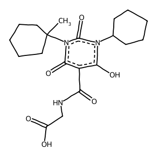 CC1(n2c(=O)c(C(=O)NCC(=O)O)c(O)n(C3CCCCC3)c2=O)CCCCC1